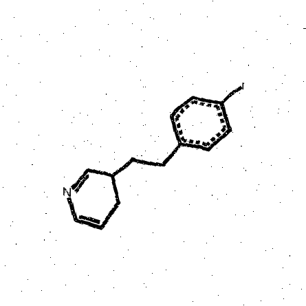 Ic1ccc(CCC2C=NC=CC2)cc1